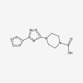 O=C(O)N1CCN(c2nc(-c3ccsc3)ns2)CC1